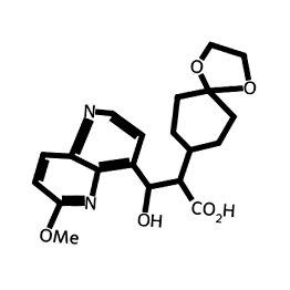 COc1ccc2nccc(C(O)C(C(=O)O)C3CCC4(CC3)OCCO4)c2n1